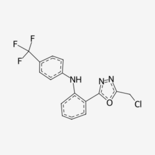 FC(F)(F)c1ccc(Nc2ccccc2-c2nnc(CCl)o2)cc1